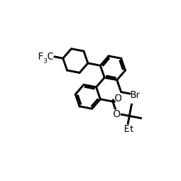 CCC(C)(C)OC(=O)c1ccccc1-c1c(CBr)cccc1C1CCC(C(F)(F)F)CC1